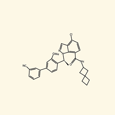 COc1cc(-c2cccc(C#N)c2)ccc1[C@H](C)n1ncc2c(Cl)ccc(C(=O)NC3CC4(CCC4)C3)c21